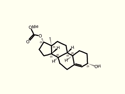 COC(=O)O[C@H]1CC[C@H]2[C@@H]3CCC4=C[C@@H](O)CC[C@@H]4[C@H]3CC[C@]12C